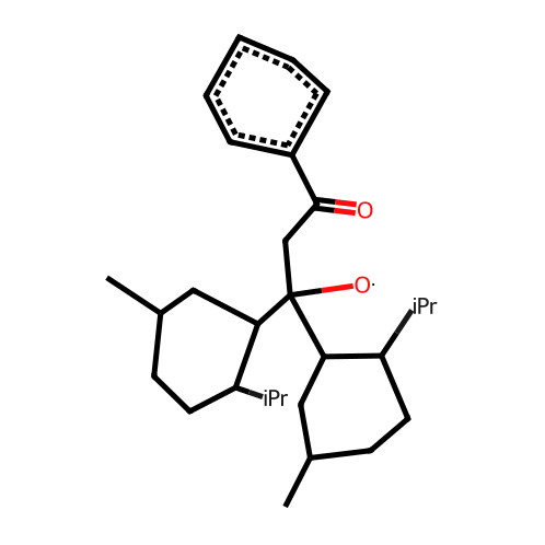 CC1CCC(C(C)C)C(C([O])(CC(=O)c2ccccc2)C2CC(C)CCC2C(C)C)C1